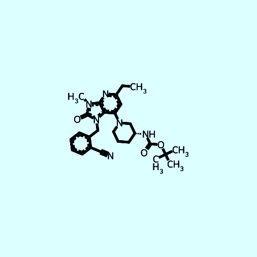 CCc1cc(N2CCC[C@@H](NC(=O)OC(C)(C)C)C2)c2c(n1)n(C)c(=O)n2Cc1ccccc1C#N